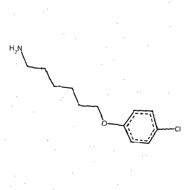 NCCCCCCOc1ccc(Cl)cc1